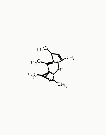 CC1=CC(C)C2=C(C)c3c(C)cc(C)n3BN12